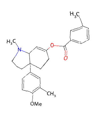 COc1ccc(C23CCC(OC(=O)c4cccc(C)c4)=CC2N(C)CC3)cc1C